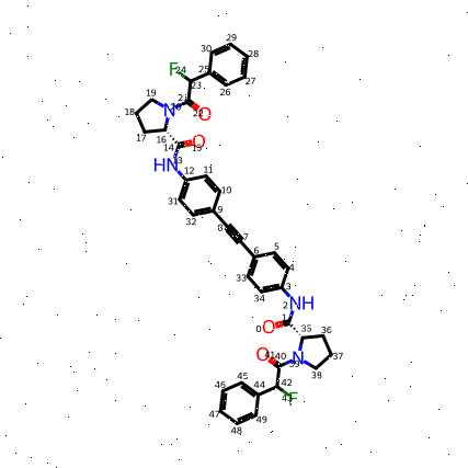 O=C(Nc1ccc(C#Cc2ccc(NC(=O)[C@@H]3CCCN3C(=O)C(F)c3ccccc3)cc2)cc1)[C@@H]1CCCN1C(=O)C(F)c1ccccc1